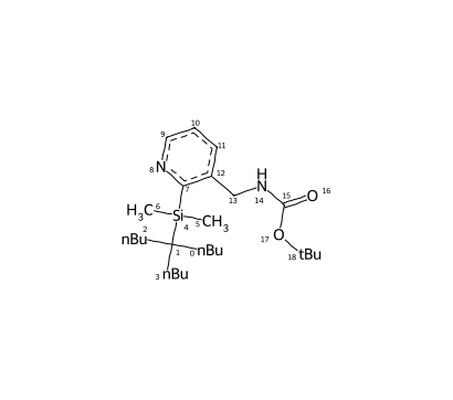 CCCCC(CCCC)(CCCC)[Si](C)(C)c1ncccc1CNC(=O)OC(C)(C)C